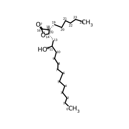 CCCCCCCCCCCC(O)C[C@@H]1OC(=O)[C@@H]1CCCCCC